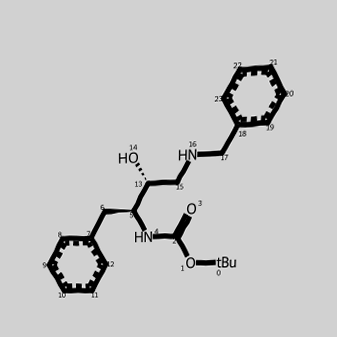 CC(C)(C)OC(=O)N[C@@H](Cc1ccccc1)[C@H](O)CNCc1ccccc1